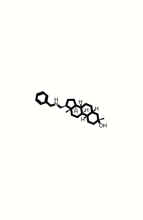 C[C@@]1(O)CC[C@H]2[C@H](CC[C@@H]3[C@@H]2CC[C@]2(C)[C@@H](CNCc4ccccc4)CC[C@@H]32)C1